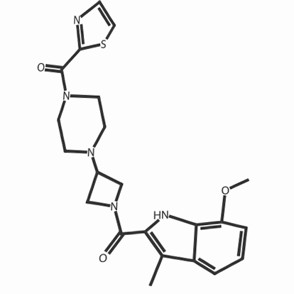 COc1cccc2c(C)c(C(=O)N3CC(N4CCN(C(=O)c5nccs5)CC4)C3)[nH]c12